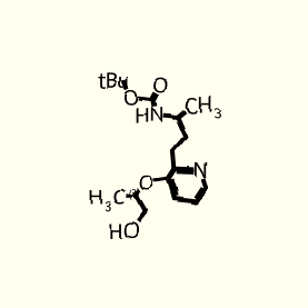 CC(CCc1ncccc1O[C@H](C)CO)NC(=O)OC(C)(C)C